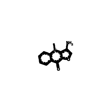 Cn1c2ccccc2c(=O)c2occ(N)c21